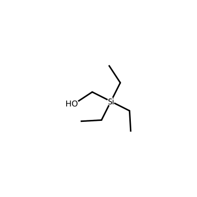 CC[Si](CC)(CC)CO